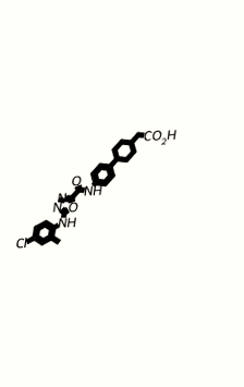 Cc1cc(Cl)ccc1Nc1nnc(C(=O)Nc2ccc(C3CCC(CC(=O)O)CC3)cc2)o1